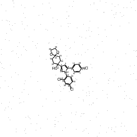 OC1(c2cc(-c3ccc(Cl)cc3)n(-c3ccc(Cl)cc3Cl)n2)CCC2(CC1)OCCO2